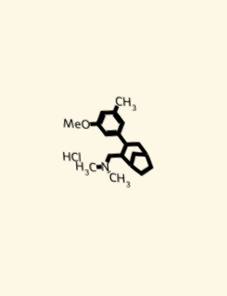 COc1cc(C)cc(C2CC3CCC(C3)C2CN(C)C)c1.Cl